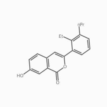 CCCc1cccc(-c2cc3ccc(O)cc3c(=O)o2)c1CC